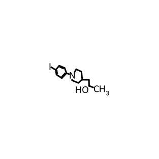 CC(O)CC1CCN(c2ccc(I)cc2)CC1